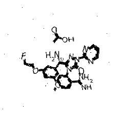 CC(=O)O.COc1cc(OCCF)cc([C@H](N)c2nn(-c3ncccn3)c(=O)n2-c2ccccc2C(=N)N)c1